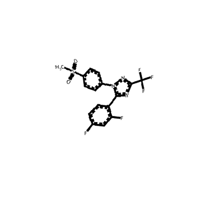 CS(=O)(=O)c1ccc(-n2nc(C(F)(F)F)nc2-c2ccc(F)cc2F)cc1